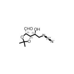 CC1(C)O[C@@H]([C@@H](O)CN=[N+]=[N-])[C@@H](C=O)O1